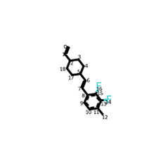 C=CC1CCC(/C=C/c2ccc(C)c(F)c2F)CC1